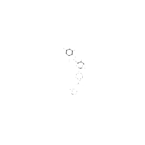 C[C@@H](Nc1nc(N2CCN(C(=O)C[C@H]3CCC(=O)N3)CC2)ncc1Cl)c1ccc(Cl)cc1Cl